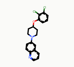 Clc1cccc(OC2CCN(c3ccc4ncc[c]c4c3)CC2)c1Cl